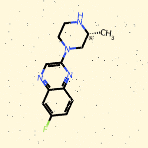 C[C@@H]1CN(c2cnc3cc(F)ccc3n2)CCN1